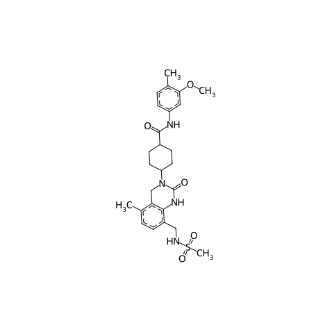 COc1cc(NC(=O)C2CCC(N3Cc4c(C)ccc(CNS(C)(=O)=O)c4NC3=O)CC2)ccc1C